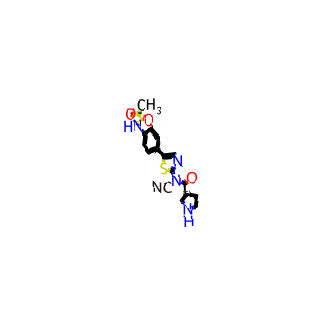 CS(=O)(=O)Nc1ccc(-c2cnc(N(C#N)C(=O)[C@H]3CCNC3)s2)cc1